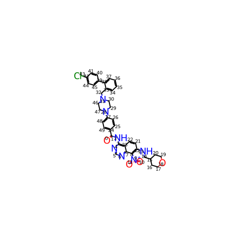 O=C(Nc1ncnc2c([N+](=O)[O-])c(NCC3CCOCC3)ccc12)c1ccc(N2CCN(Cc3ccccc3-c3ccc(Cl)cc3)CC2)cc1